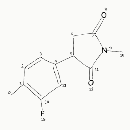 Cc1ccc(C2CC(=O)N(C)C2=O)cc1F